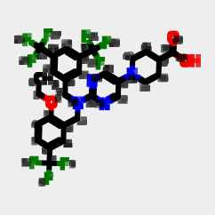 CCOc1ccc(C(F)(F)F)cc1CN(Cc1cc(C(F)(F)F)cc(C(F)(F)F)c1)c1ncc(N2CCC(C(=O)O)CC2)cn1